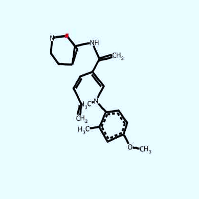 C=C/C=C\C(=C/N(C)c1ccc(OC)cc1C)C(=C)NC1CN2CCC1CC2